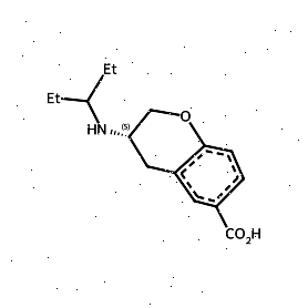 CCC(CC)N[C@@H]1COc2ccc(C(=O)O)cc2C1